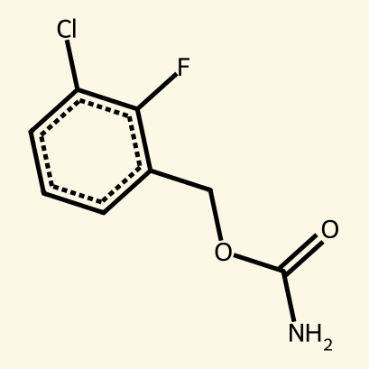 NC(=O)OCc1cccc(Cl)c1F